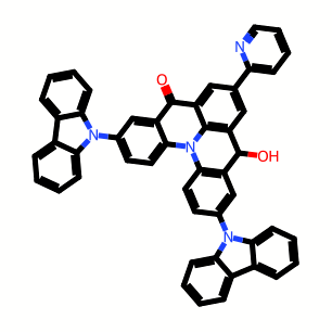 O=c1c2cc(-n3c4ccccc4c4ccccc43)ccc2n2c3c(cc(-c4ccccn4)cc13)C(O)c1cc(-n3c4ccccc4c4ccccc43)ccc1-2